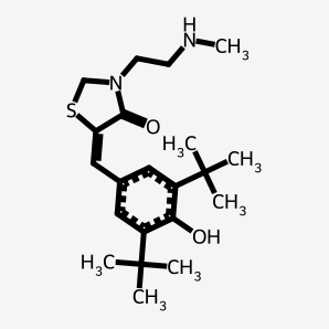 CNCCN1CSC(=Cc2cc(C(C)(C)C)c(O)c(C(C)(C)C)c2)C1=O